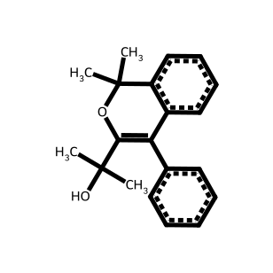 CC(C)(O)C1=C(c2ccccc2)c2ccccc2C(C)(C)O1